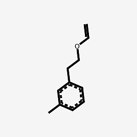 C=COCCc1cccc(C)c1